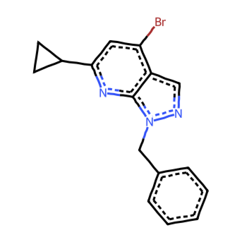 Brc1cc(C2CC2)nc2c1cnn2Cc1ccccc1